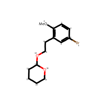 COc1ccc(Br)cc1CCOC1CCCCO1